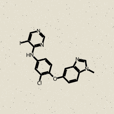 Cn1cnc2cc(Oc3ccc(Nc4ncncc4I)cc3Cl)ccc21